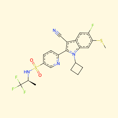 CSc1cc2c(cc1F)c(C#N)c(-c1ccc(S(=O)(=O)N[C@@H](C)C(F)(F)F)cn1)n2C1CCC1